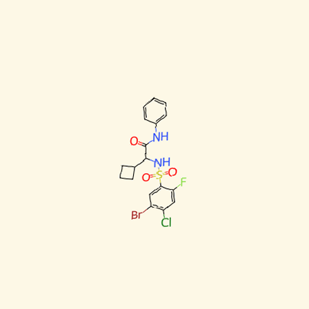 O=C(Nc1ccccc1)C(NS(=O)(=O)c1cc(Br)c(Cl)cc1F)C1CCC1